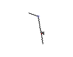 CCCCCCCC/C=C\CCCCCCCCCCCCCC(CCCCCCCCC)N(C)C